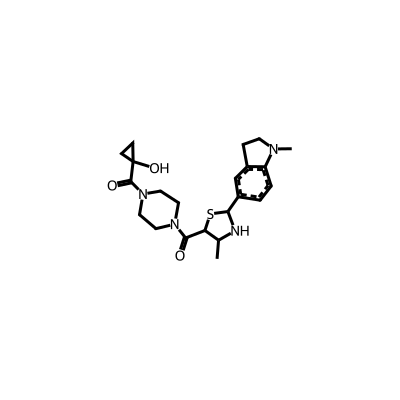 CC1NC(c2ccc3c(c2)CCN3C)SC1C(=O)N1CCN(C(=O)C2(O)CC2)CC1